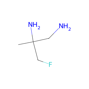 CC(N)(CN)CF